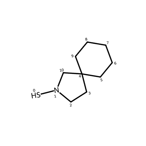 SN1CCC2(CCCCC2)C1